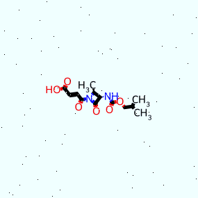 CC(C)COC(=O)N[C@@H]1C(=O)N(C(=O)/C=C/C(=O)O)[C@H]1C